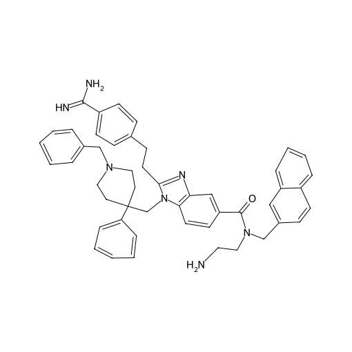 N=C(N)c1ccc(CCc2nc3cc(C(=O)N(CCN)Cc4ccc5ccccc5c4)ccc3n2CC2(c3ccccc3)CCN(Cc3ccccc3)CC2)cc1